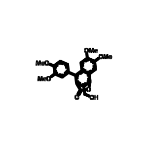 COc1ccc(-c2c3c(CO)c(c4cc(OC)c(OC)cc24)OC3=O)cc1OC